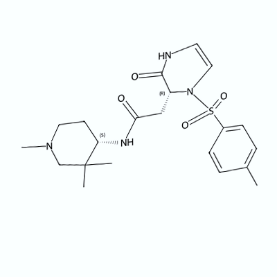 Cc1ccc(S(=O)(=O)N2C=CNC(=O)[C@H]2CC(=O)N[C@H]2CCN(C)CC2(C)C)cc1